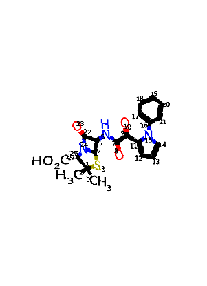 CC1(C)SC2C(NC(=O)C(=O)c3cccn3-c3ccccc3)C(=O)N2[C@H]1C(=O)O